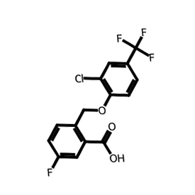 O=C(O)c1cc(F)ccc1COc1ccc(C(F)(F)F)cc1Cl